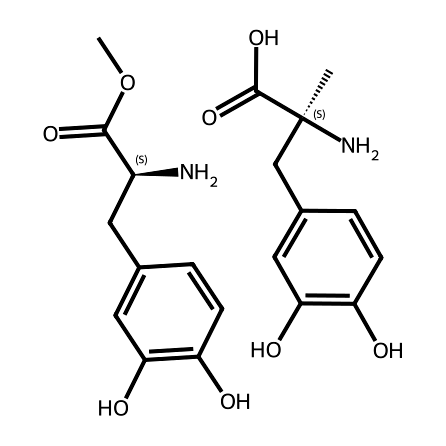 COC(=O)[C@@H](N)Cc1ccc(O)c(O)c1.C[C@](N)(Cc1ccc(O)c(O)c1)C(=O)O